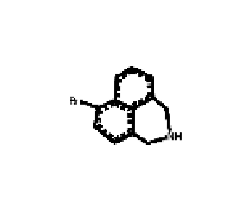 Brc1ccc2c3c(cccc13)CNC2